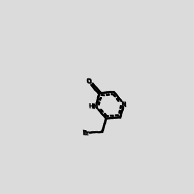 O=c1cncc(CBr)[nH]1